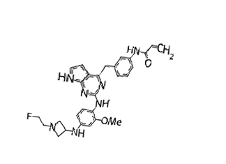 C=CC(=O)Nc1cccc(Cc2nc(Nc3ccc(NC4CN(CCF)C4)cc3OC)nc3[nH]ccc23)c1